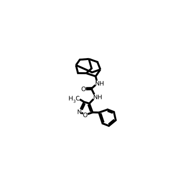 Cc1noc(-c2ccccc2)c1NC(=O)NC1C2CC3CC(C2)CC1C3